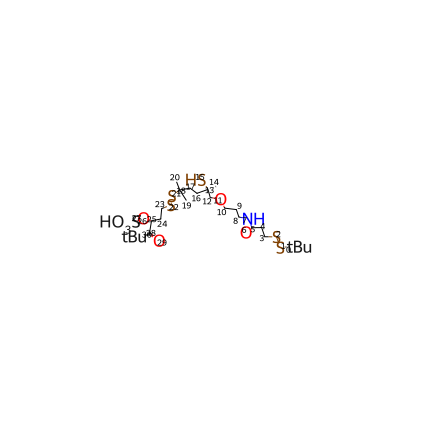 CC(C)(C)SSCCC(=O)NCCCOC[C@](C)(S)CCC(C)(C)SSCCC(OS(=O)(=O)O)C(=O)C(C)(C)C